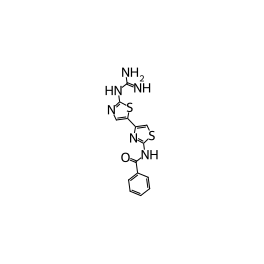 N=C(N)Nc1ncc(-c2csc(NC(=O)c3ccccc3)n2)s1